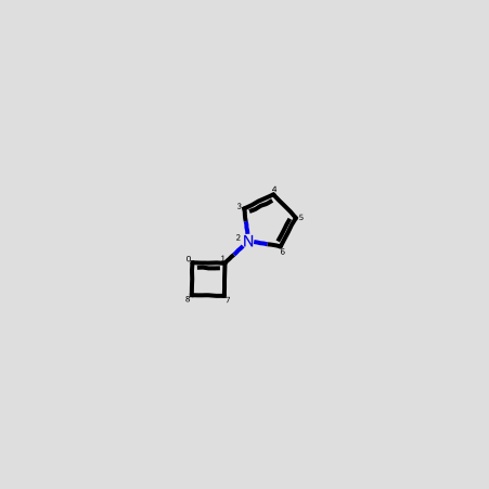 C1=C(n2cccc2)CC1